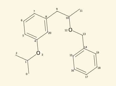 CC(C)Oc1cccc(CC(C)OCc2ccccc2)c1